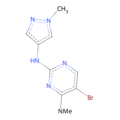 CNc1nc(Nc2cnn(C)c2)ncc1Br